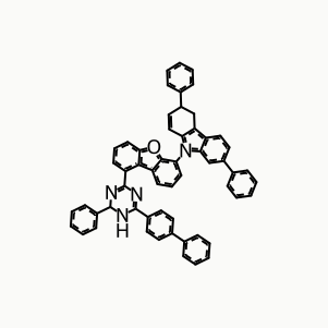 C1=CC(c2ccccc2)Cc2c1n(-c1cccc3c1oc1cccc(C4=NC(c5ccccc5)NC(c5ccc(-c6ccccc6)cc5)=N4)c13)c1cc(-c3ccccc3)ccc21